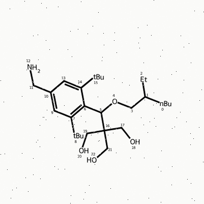 CCCCC(CC)COC(c1c(C(C)(C)C)cc(CN)cc1C(C)(C)C)C(CO)(CO)CO